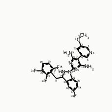 COc1cncc(-c2c(N)nc(N3NC(Cc4c(F)ccc(F)c4F)c4cc(F)ccc43)nc2N)c1